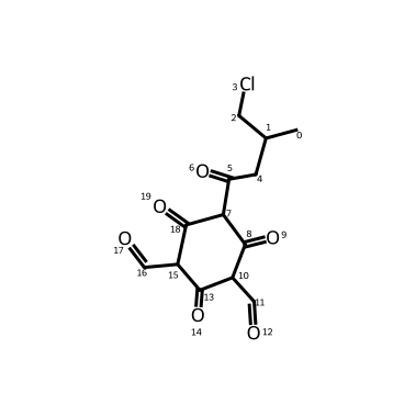 CC(CCl)CC(=O)C1C(=O)C(C=O)C(=O)C(C=O)C1=O